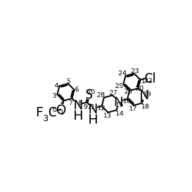 FC(F)(F)Oc1ccccc1NC(=S)NC1CCN(c2ccnc3c(Cl)cccc23)CC1